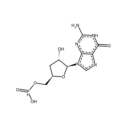 Nc1nc2c(ncn2[C@H]2O[C@@H](CO[PH](=O)O)C[C@@H]2O)c(=O)[nH]1